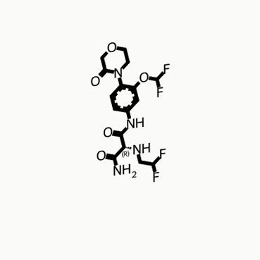 NC(=O)[C@@H](NCC(F)F)C(=O)Nc1ccc(N2CCOCC2=O)c(OC(F)F)c1